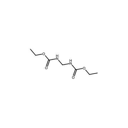 CCOC(=O)NCNC(=O)OCC